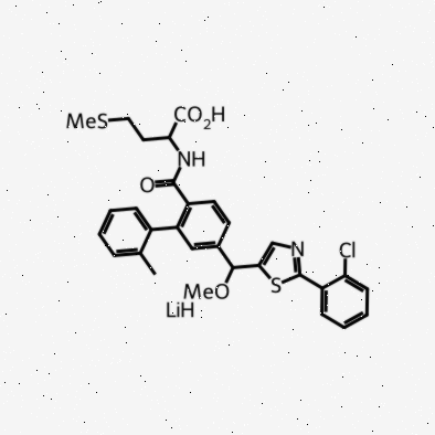 COC(c1ccc(C(=O)NC(CCSC)C(=O)O)c(-c2ccccc2C)c1)c1cnc(-c2ccccc2Cl)s1.[LiH]